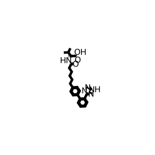 CC(C)[C@H](NC(=O)CCCCCc1ccc(-c2ccccc2-c2nn[nH]n2)cc1)C(=O)O